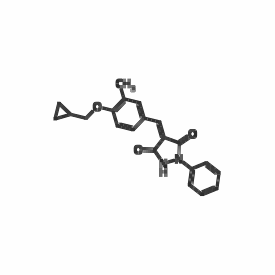 Cc1cc(/C=C2\C(=O)NN(c3ccccc3)C2=O)ccc1OCC1CC1